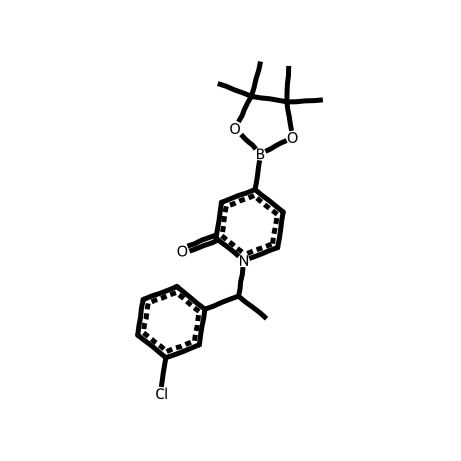 CC(c1cccc(Cl)c1)n1ccc(B2OC(C)(C)C(C)(C)O2)cc1=O